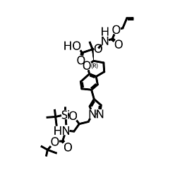 C=CCOC(=O)NOC(C)(C(=O)O)[C@H]1CCc2cc(-c3cnn(CC(CNC(=O)OC(C)(C)C)O[Si](C)(C)C(C)(C)C)c3)ccc2O1